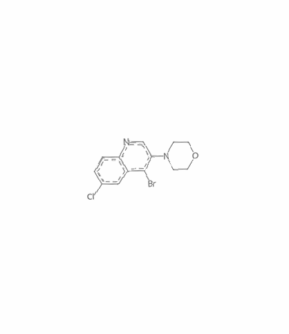 Clc1ccc2ncc(N3CCOCC3)c(Br)c2c1